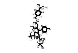 Cc1ccc(-c2c(CC(=O)OCc3ccc(C(=O)O)cc3)c(C)nc(CC(C)(C)C)c2CNC(=O)OC(C)(C)C)cc1